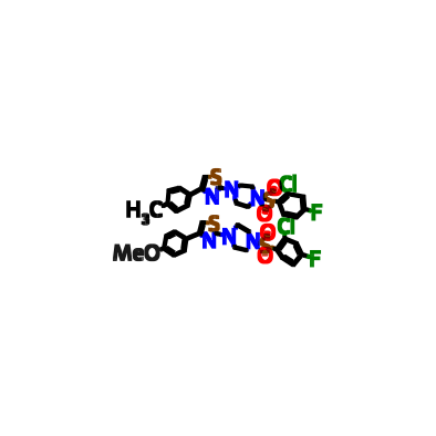 COc1ccc(-c2csc(N3CCN(S(=O)(=O)c4ccc(F)cc4Cl)CC3)n2)cc1.Cc1ccc(-c2csc(N3CCN(S(=O)(=O)c4ccc(F)cc4Cl)CC3)n2)cc1